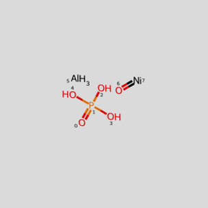 O=P(O)(O)O.[AlH3].[O]=[Ni]